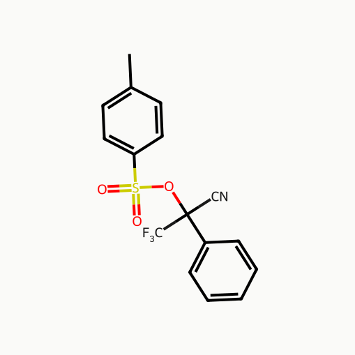 Cc1ccc(S(=O)(=O)OC(C#N)(c2ccccc2)C(F)(F)F)cc1